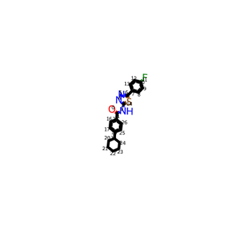 O=C(Nc1nnc(-c2ccc(F)cc2)s1)c1ccc(C2CC[CH]CC2)cc1